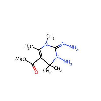 COC(=O)C1=C(C)N(C)/C(=N/N)N(N)C1(C)C